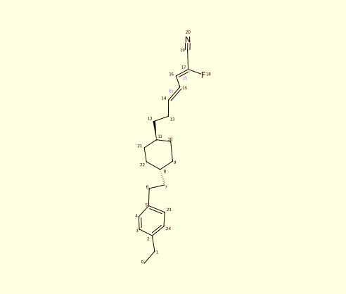 CCc1ccc(CC[C@H]2CC[C@H](CC/C=C/C=C(\F)C#N)CC2)cc1